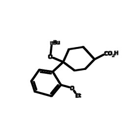 CCCCOC1(c2ccccc2OCC)CCC(C(=O)O)CC1